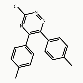 Cc1ccc(-c2nnc(Cl)nc2-c2ccc(C)cc2)cc1